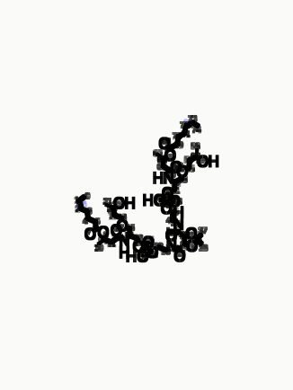 C/C=C\CCCC(=O)O[C@H](C)CC(=O)NC(COCC[C@@H](C)O)COP(=O)(O)OCCNC(=O)[C@H]1OC(C)(C)O[C@@H]1C(=O)NCCOP(=O)(O)OCC(COCC[C@@H](C)O)NC(=O)C[C@@H](C)OC(=O)CCC/C=C\C